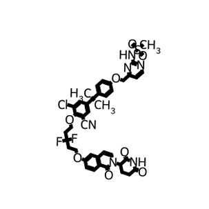 CC(C)(c1ccc(OCc2ccnc(NS(C)(=O)=O)n2)cc1)c1cc(Cl)c(OCCC(F)(F)CCOc2ccc3c(=O)n(C4CCC(=O)NC4=O)ccc3c2)c(C#N)c1